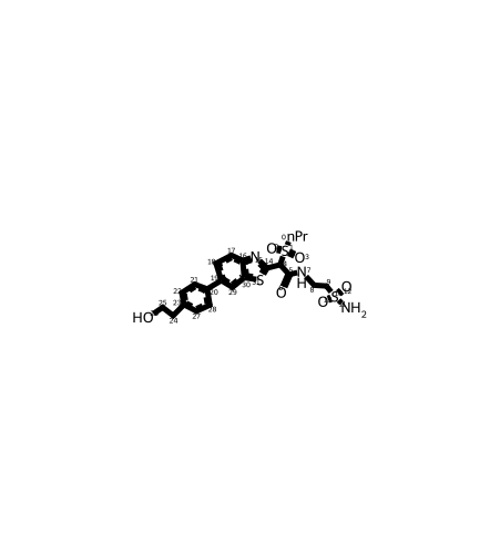 CCCS(=O)(=O)C(C(=O)NCCS(N)(=O)=O)c1nc2ccc(-c3ccc(CCO)cc3)cc2s1